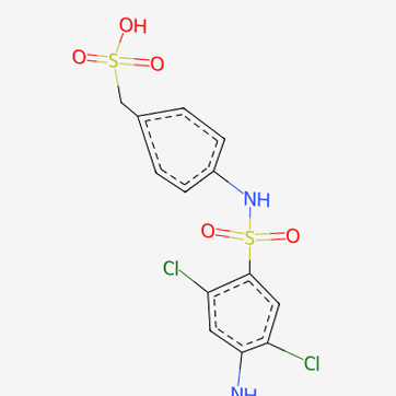 Nc1cc(Cl)c(S(=O)(=O)Nc2ccc(CS(=O)(=O)O)cc2)cc1Cl